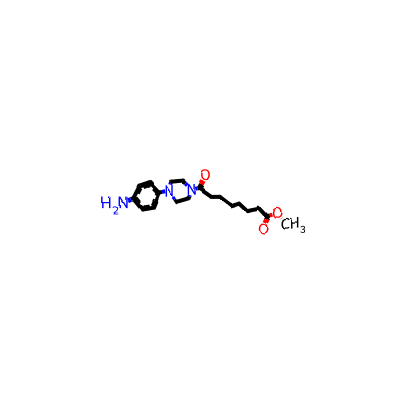 COC(=O)CCCCCCC(=O)N1CCN(c2ccc(N)cc2)CC1